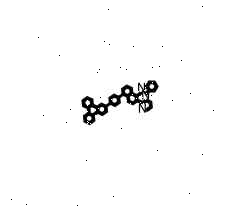 c1ccc2c(c1)nc1c3c4cccc(-c5ccc(-c6ccc7c8ccccc8c8ccccc8c7c6)cc5)c4ccc3c3ncccc3n21